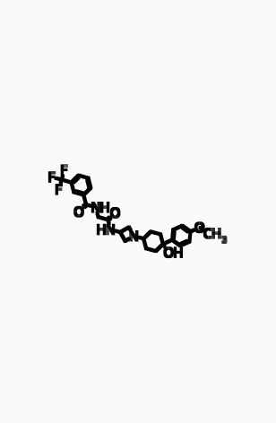 COc1ccc(C2(O)CCC(N3CC(NC(=O)CNC(=O)c4cccc(C(F)(F)F)c4)C3)CC2)cc1